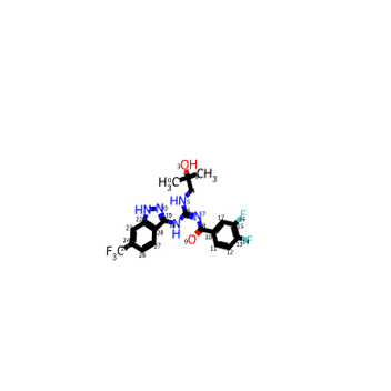 CC(C)(O)CN/C(=N/C(=O)c1ccc(F)c(F)c1)Nc1n[nH]c2cc(C(F)(F)F)ccc12